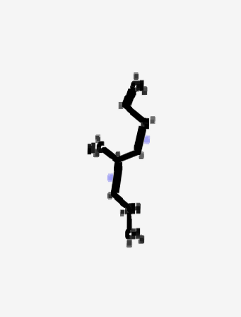 C=C/N=C\C(C)=C/NC